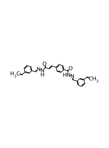 C=Cc1cccc(/C=N/NC(=O)/C=C/c2ccc(C(=O)N/N=C/c3cccc(C=C)c3)cc2)c1